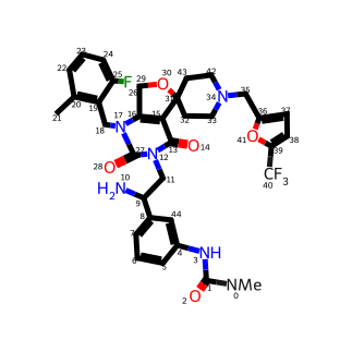 CNC(=O)Nc1cccc(C(N)Cn2c(=O)c3c(n(Cc4c(C)cccc4F)c2=O)COC32CCN(Cc3ccc(C(F)(F)F)o3)CC2)c1